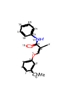 COc1cccc(OC=C(C)C(=O)Nc2ccccc2)c1